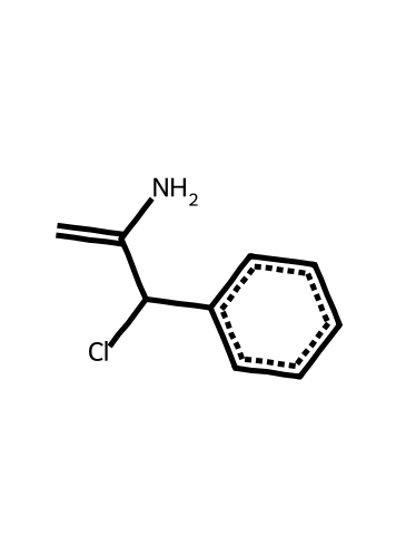 C=C(N)C(Cl)c1ccccc1